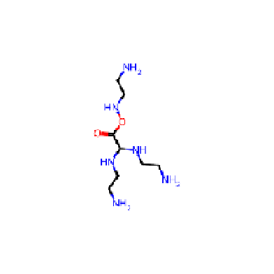 NCCNOC(=O)C(NCCN)NCCN